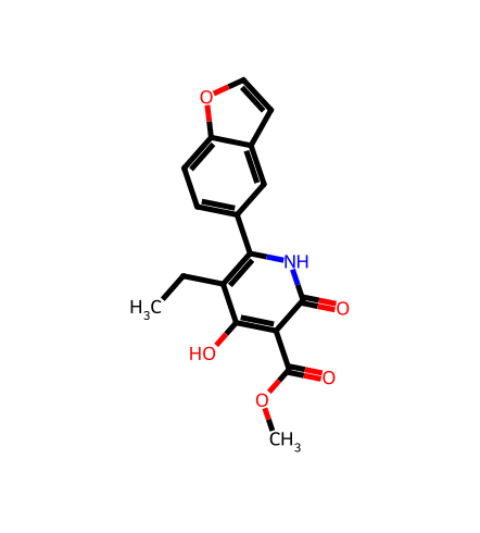 CCc1c(-c2ccc3occc3c2)[nH]c(=O)c(C(=O)OC)c1O